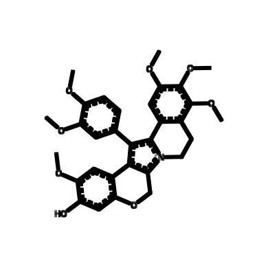 COc1cc2c(cc1O)OCc1c-2c(-c2ccc(OC)c(OC)c2)c2n1CCc1c-2cc(OC)c(OC)c1OC